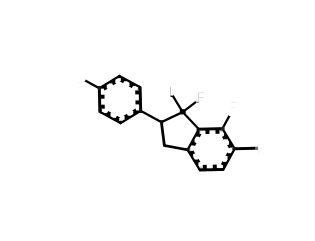 Cc1ccc(C2Cc3ccc(I)c(F)c3C2(F)I)cc1